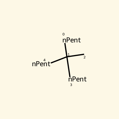 CCCCCC(C)(CCCCC)CCCCC